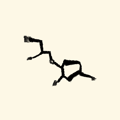 BrCC(Br)COc1ccc(Br)cc1Br